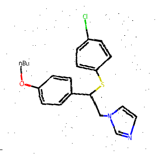 CCCCOc1ccc(C(Cn2ccnc2)Sc2ccc(Cl)cc2)cc1